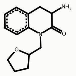 NC1Cc2ccccc2N(CC2CCCO2)C1=O